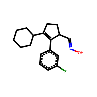 ON=CC1CCC(C2CCCCC2)=C1c1cccc(F)c1